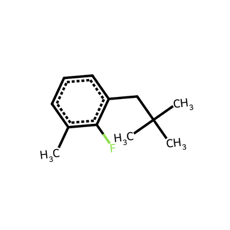 Cc1cccc(CC(C)(C)C)c1F